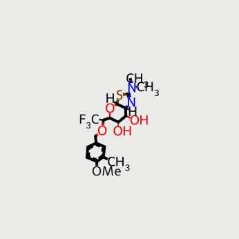 COc1ccc(CO[C@H]([C@H]2O[C@@H]3SC(N(C)C)=N[C@@H]3[C@@H](O)[C@@H]2O)C(F)(F)F)cc1C